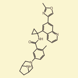 Cc1nc(-c2cc(C3(NC(=O)c4cc(N5CC6CCC(C5)N6)ccc4C)CC3)c3cccnc3c2)co1